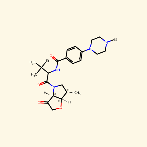 CCN1CCN(c2ccc(C(=O)NC(C(=O)N3C[C@H](C)[C@H]4OCC(=O)[C@H]43)C(C)(C)CC)cc2)CC1